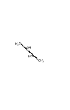 CCCCCCCCCC(O)CCCCCCCCC(O)CCCCCCCCC